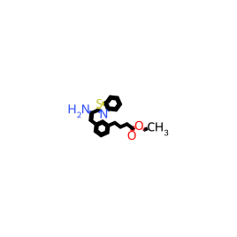 CCOC(=O)CCCc1cccc(/C=C(/N)c2nc3ccccc3s2)c1